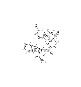 CC(N)(C[C@H](COCc1ccccc1)C(=O)N1CCN2C(=O)C(C)(C)C(=O)[C@]2(Cc2ccc(F)cc2)C1)C(N)=O